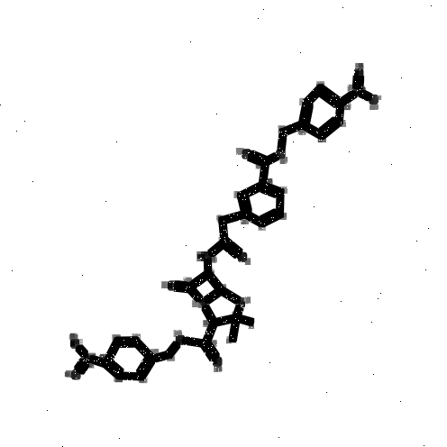 CC1(C)SC2C(NC(=O)Cc3cccc(C(=O)OCc4ccc([N+](=O)[O-])cc4)c3)C(=O)N2C1C(=O)OCc1ccc([N+](=O)[O-])cc1